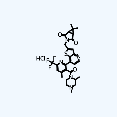 Cc1cc(C(F)(F)F)nc(-c2ccnc3cc(CN4C(=O)C5C(C4=O)C5(C)C)sc23)c1C(=O)N1CCN(C)CC1C.Cl